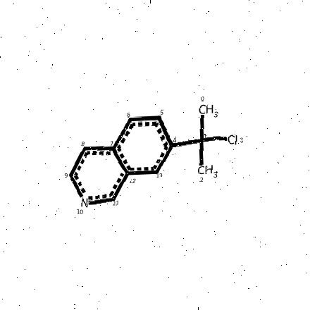 CC(C)(Cl)c1ccc2ccncc2c1